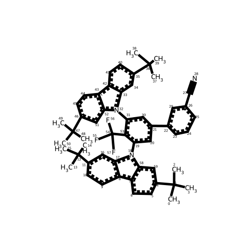 CC(C)(C)c1ccc2c3ccc(C(C)(C)C)cc3n(-c3cc(-c4cccc(C#N)c4)cc(-n4c5cc(C(C)(C)C)ccc5c5ccc(C(C)(C)C)cc54)c3C(F)(F)F)c2c1